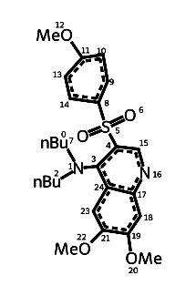 CCCCN(CCCC)c1c(S(=O)(=O)c2ccc(OC)cc2)cnc2cc(OC)c(OC)cc12